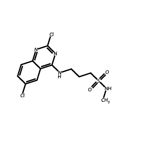 CNS(=O)(=O)CCCNc1nc(Cl)nc2ccc(Cl)cc12